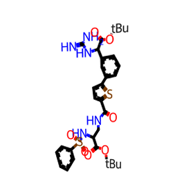 CC(C)(C)OC(=O)C(CNC(=O)c1ccc(-c2cccc(C(NC(=N)N)C(=O)OC(C)(C)C)c2)s1)NS(=O)(=O)c1ccccc1